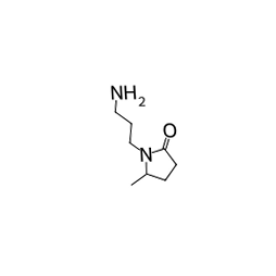 CC1CCC(=O)N1CCCN